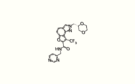 O=C(NCc1ccncn1)c1oc2ccc3cn(C[C@H]4COCCO4)nc3c2c1C(F)(F)F